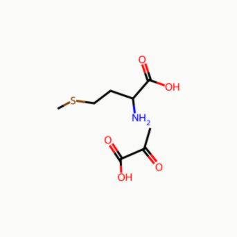 CC(=O)C(=O)O.CSCCC(N)C(=O)O